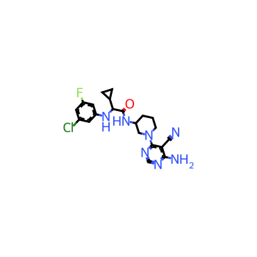 N#Cc1c(N)ncnc1N1CCCC(NC(=O)C(Nc2cc(F)cc(Cl)c2)C2CC2)C1